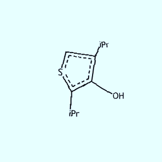 CC(C)c1csc(C(C)C)c1O